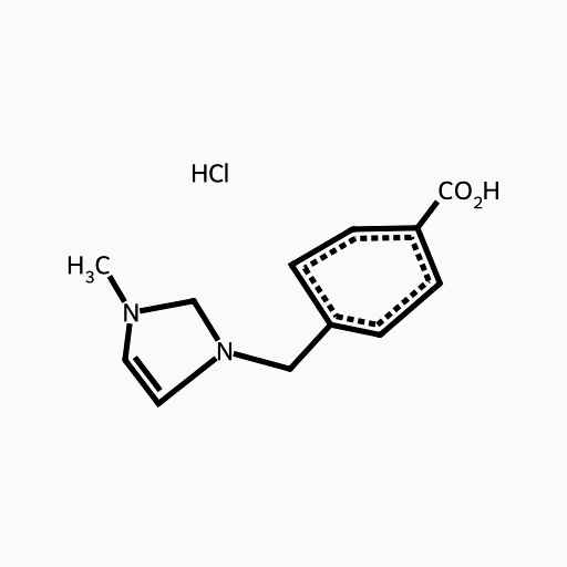 CN1C=CN(Cc2ccc(C(=O)O)cc2)C1.Cl